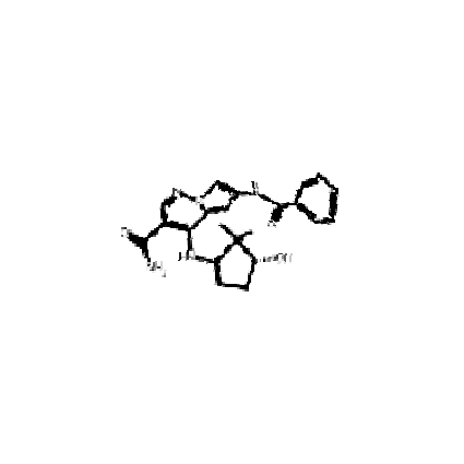 CC1(C)[C@H](O)CC[C@H]1Nc1c(C(N)=O)cnn2cc(NC(=O)c3ccccc3)cc12